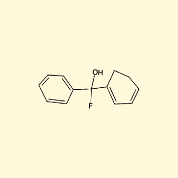 OC(F)(C1=CC=CCC1)c1ccccc1